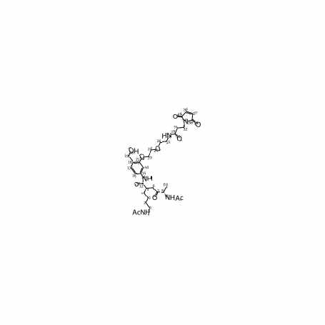 CC(=O)NCCCC[C@H](CC(=O)[C@H](C)NC(C)=O)C(=O)Nc1ccc(CO)c(OCCOCCNC(=O)CCN2C(=O)C=CC2=O)c1